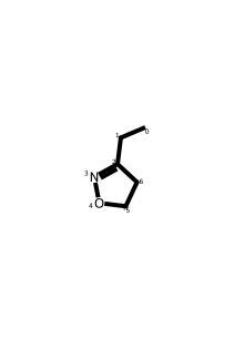 CCC1=NO[C]C1